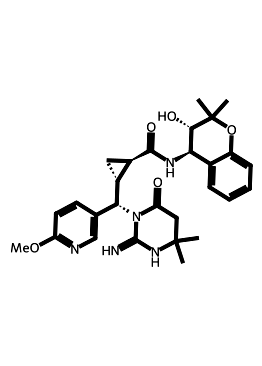 COc1ccc([C@H]([C@@H]2C[C@H]2C(=O)N[C@@H]2c3ccccc3OC(C)(C)[C@H]2O)N2C(=N)NC(C)(C)CC2=O)cn1